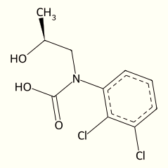 C[C@H](O)CN(C(=O)O)c1cccc(Cl)c1Cl